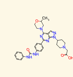 CC1CN(c2nc(-c3ccc(NC(=O)Nc4ccccc4)cc3)nc3c2cnn3C2CCN(CC(=O)O)CC2)CCO1